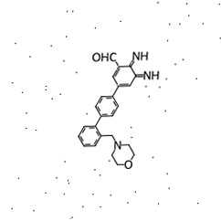 N=C1C=C(c2ccc(-c3ccccc3CN3CCOCC3)cc2)C=C(C=O)C1=N